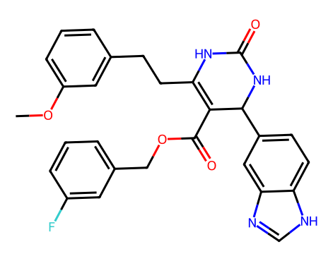 COc1cccc(CCC2=C(C(=O)OCc3cccc(F)c3)C(c3ccc4[nH]cnc4c3)NC(=O)N2)c1